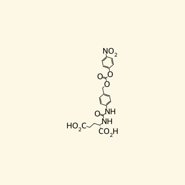 O=C(O)CC[C@H](NC(=O)Nc1ccc(COC(=O)Oc2ccc([N+](=O)[O-])cc2)cc1)C(=O)O